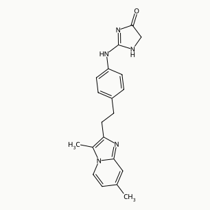 Cc1ccn2c(C)c(CCc3ccc(NC4=NC(=O)CN4)cc3)nc2c1